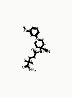 COc1cccc(N2CCC(C#N)(NC(=O)[CH]CC(C)(C)C(N)=O)CC2)c1